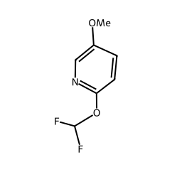 COc1ccc(OC(F)F)nc1